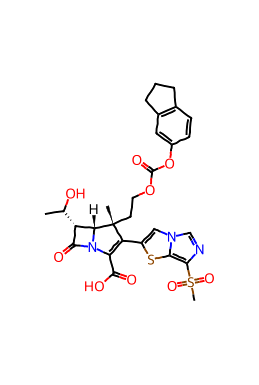 CC(O)[C@H]1C(=O)N2C(C(=O)O)=C(c3cn4cnc(S(C)(=O)=O)c4s3)[C@@](C)(CCOC(=O)Oc3ccc4c(c3)CCC4)[C@@H]12